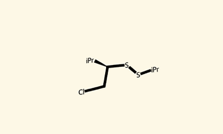 CC(C)SS[C@@H](CCl)C(C)C